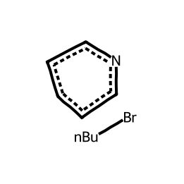 CCCCBr.c1ccncc1